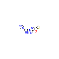 CN1CCN(c2ccc(Nc3ncc4c(=O)c(-c5ccsc5)cn(C)c4n3)cc2)CC1